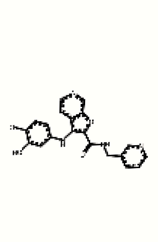 O=C(NCc1cccnc1)c1oc2cnccc2c1Nc1ccc(Cl)c(O)c1